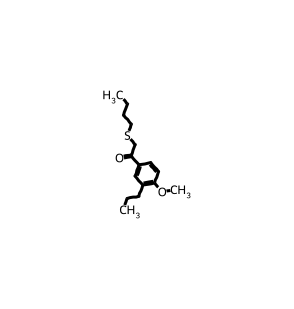 CCCCSCC(=O)c1ccc(OC)c(CCC)c1